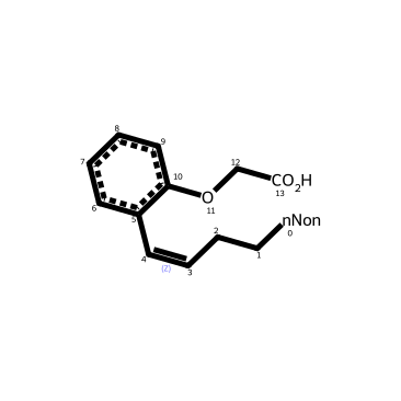 CCCCCCCCCCC/C=C\c1ccccc1OCC(=O)O